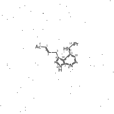 CC(=O)C=CCc1c[nH]c2nccc(NC(C)C)c12